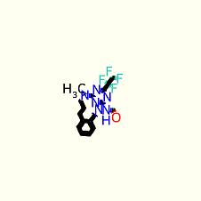 CN(CCCc1ccccc1C#N)c1nc(NC=O)nc(C(F)(F)C(F)F)n1